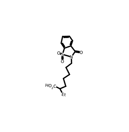 CCC(CCCCCN1C(=O)c2ccccc2S1(=O)=O)C(=O)O